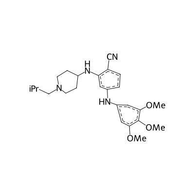 COc1cc(Nc2ccc(C#N)c(NC3CCN(CC(C)C)CC3)c2)cc(OC)c1OC